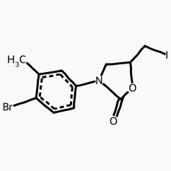 Cc1cc(N2CC(CI)OC2=O)ccc1Br